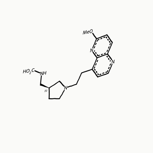 COc1ccc2nccc(CCN3CC[C@@H](CNC(=O)O)C3)c2n1